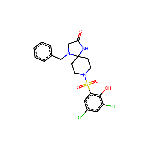 O=C1CN(Cc2ccccc2)C2(CCN(S(=O)(=O)c3cc(Cl)cc(Cl)c3O)CC2)N1